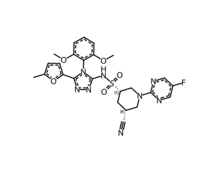 COc1cccc(OC)c1-n1c(NS(=O)(=O)[C@H]2C[C@@H](C#N)CN(c3ncc(F)cn3)C2)nnc1-c1ccc(C)o1